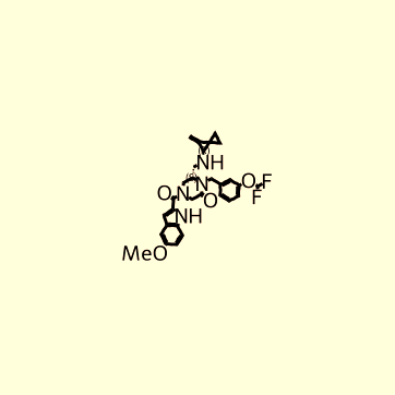 C=C1[C@H](NC[C@H]2CN(C(=O)c3cc4cc(OC)ccc4[nH]3)CC(=O)N2Cc2cccc(OC(F)F)c2)C12CC2